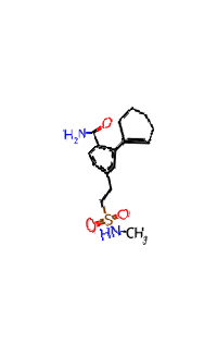 CNS(=O)(=O)CCc1ccc(C(N)=O)c(C2=CCCCC2)c1